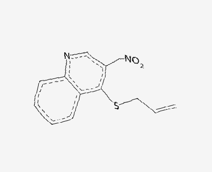 C=CCSc1c([N+](=O)[O-])cnc2ccccc12